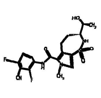 C[C@H](O)[C@H]1CCc2c(cn(C)c2C(=O)Nc2ccc(F)c(C#N)c2F)S(=O)(=O)N1